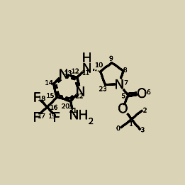 CC(C)(C)OC(=O)N1CC[C@@H](Nc2ncc(C(F)(F)F)c(N)n2)C1